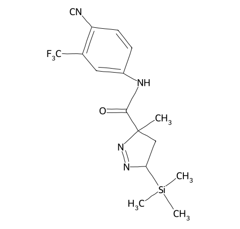 [C-]#[N+]c1ccc(NC(=O)C2(C)CC([Si](C)(C)C)N=N2)cc1C(F)(F)F